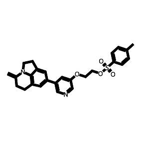 C=C1CCc2cc(-c3cncc(OCCOS(=O)(=O)c4ccc(C)cc4)c3)cc3c2N1CC3